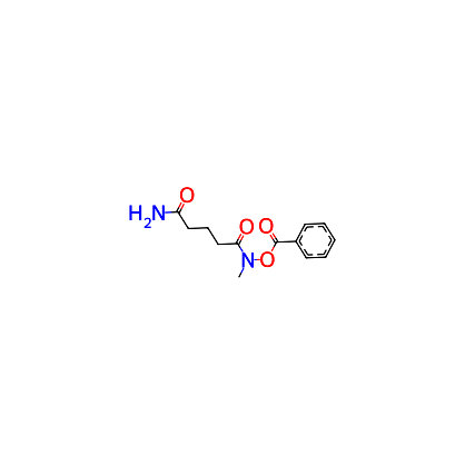 CN(OC(=O)c1ccccc1)C(=O)CCCC(N)=O